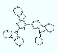 c1ccc(-n2c3ccccc3c3ccc(-c4nc(-n5c6ccccc6c6ccccc65)nc5c4sc4ccccc45)cc32)cc1